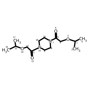 CC(C)OCC(=O)N1CCN(C(=O)COC(C)C)CC1